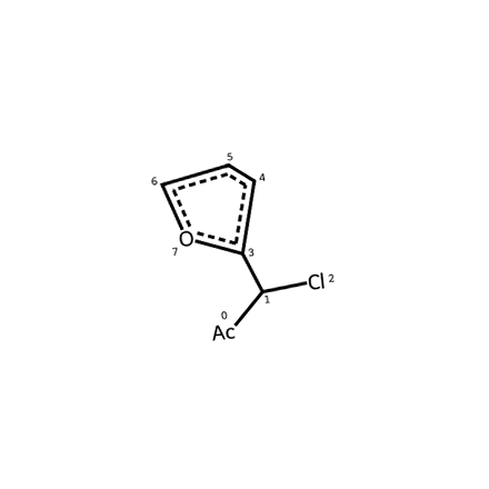 CC(=O)C(Cl)c1ccco1